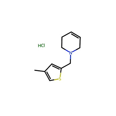 Cc1csc(CN2CC=CCC2)c1.Cl